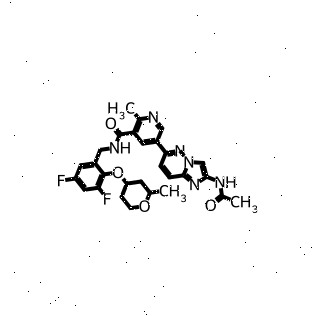 CC(=O)Nc1cn2nc(-c3cnc(C)c(C(=O)NCc4cc(F)cc(F)c4OC4CCOC(C)C4)c3)ccc2n1